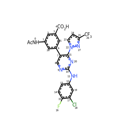 CC(=O)Nc1cc(C(=O)O)cc(-c2cnc(Nc3ccc(F)c(Cl)c3)nc2-n2ccc(C(F)(F)F)n2)c1